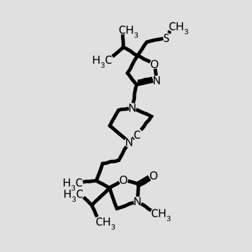 CSCC1(C(C)C)CC(N2CCN(CCC(C)C3(C(C)C)CN(C)C(=O)O3)CC2)=NO1